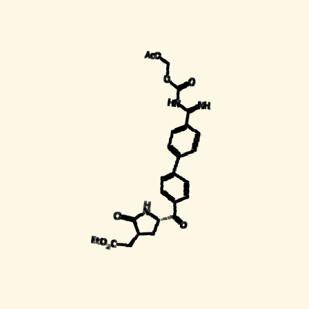 CCOC(=O)C[C@@H]1C[C@@H](C(=O)c2ccc(-c3ccc(C(=N)NC(=O)OCOC(C)=O)cc3)cc2)NC1=O